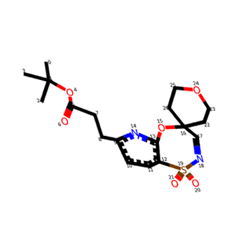 CC(C)(C)OC(=O)CCc1ccc2c(n1)OC1(C=NS2(=O)=O)CCOCC1